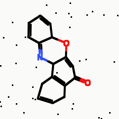 O=C1C=C2OC3C=CC=CC3=NC2C2=C1CC=CC2